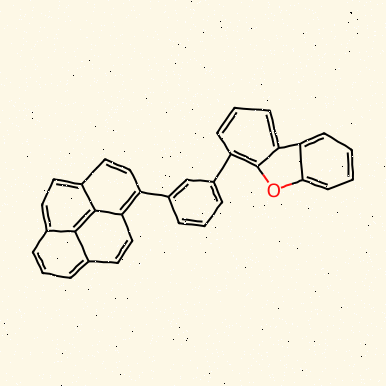 c1cc(-c2ccc3ccc4cccc5ccc2c3c45)cc(-c2cccc3c2oc2ccccc23)c1